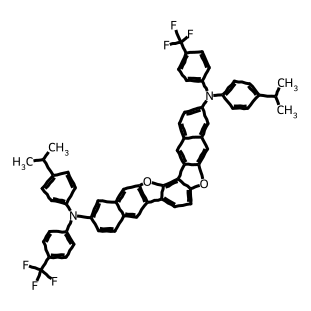 CC(C)c1ccc(N(c2ccc(C(F)(F)F)cc2)c2ccc3cc4c(cc3c2)oc2c4ccc3oc4cc5cc(N(c6ccc(C(C)C)cc6)c6ccc(C(F)(F)F)cc6)ccc5cc4c32)cc1